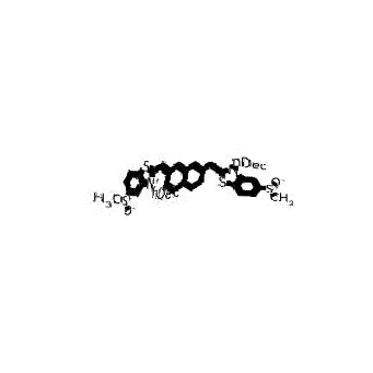 CCCCCCCCCCN1/C(=C/C2=CC3=C/C(=C/c4sc5ccc([S+](C)[O-])cc5[n+]4CCCCCCCCCC)CCC3CC2)Sc2ccc([S+](C)[O-])cc21